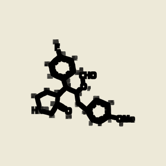 COc1ccc(CC(OC=O)C(c2ccc(F)cc2)C2CCNCC2=O)cc1